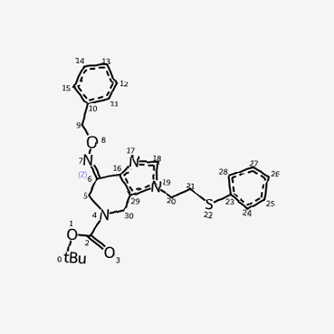 CC(C)(C)OC(=O)N1C/C(=N/OCc2ccccc2)c2ncn(CCSc3ccccc3)c2C1